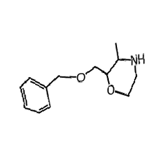 CC1NCCOC1COCc1ccccc1